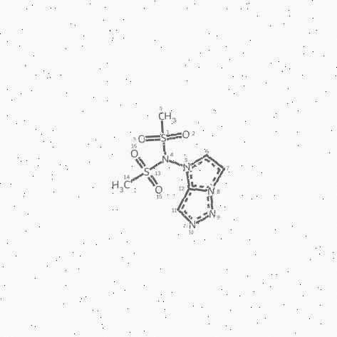 CS(=O)(=O)N(n1ccn2nncc12)S(C)(=O)=O